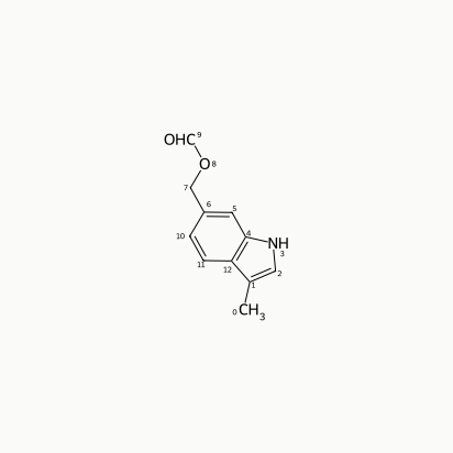 Cc1c[nH]c2cc(COC=O)ccc12